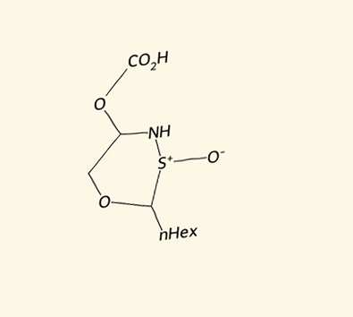 CCCCCCC1OCC(OC(=O)O)N[S+]1[O-]